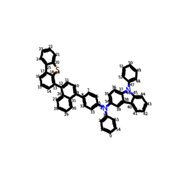 c1ccc(N(c2ccc(-c3ccc(-c4cccc5c4sc4ccccc45)c4ccccc34)cc2)c2ccc3c(c2)c2ccccc2n3-c2ccccc2)cc1